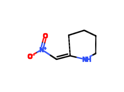 O=[N+]([O-])C=C1CCCCN1